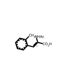 CC(=O)N/C(=C\c1ccccc1C)C(=O)O